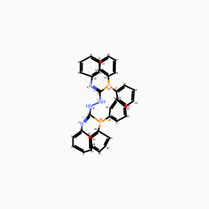 c1ccc(/N=C(/NN/C(=N/c2ccccc2)P(c2ccccc2)c2ccccc2)P(c2ccccc2)c2ccccc2)cc1